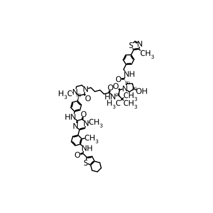 Cc1ncsc1-c1ccc(CNC(=O)[C@@H]2C[C@@H](O)CN2C(=O)[C@@H](NC(=O)CCCCN2CCN(C)[C@H](c3ccc(Nc4nc(-c5cccc(NC(=O)c6cc7c(s6)CCCC7)c5C)cn(C)c4=O)cc3)C2=O)C(C)(C)C)cc1